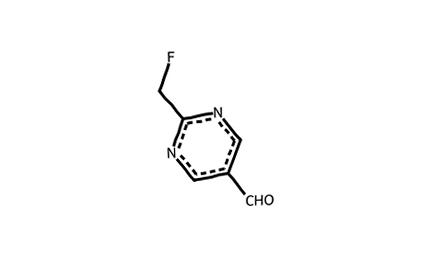 O=Cc1cnc(CF)nc1